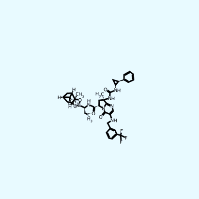 CC[C@H](NC(=O)[C@@H]1C[C@@](C)(NC(=O)N[C@@H]2C[C@H]2c2ccccc2)c2ncc(NCc3cccc(C(F)(F)F)c3)c(=O)n21)B1O[C@@H]2C[C@@H]3C[C@@H](C3(C)C)[C@]2(C)O1